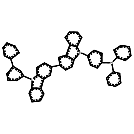 c1ccc(-c2cccc(-n3c4ccccc4c4cc(-c5ccc6c(c5)c5ccccc5n6-c5ccc(N(c6ccccc6)c6ccccc6)cc5)ccc43)c2)cc1